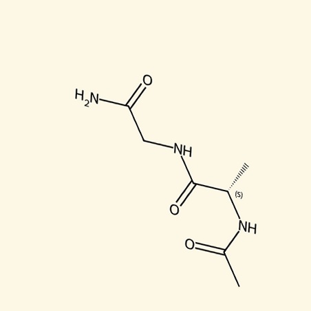 CC(=O)N[C@@H](C)C(=O)NCC(N)=O